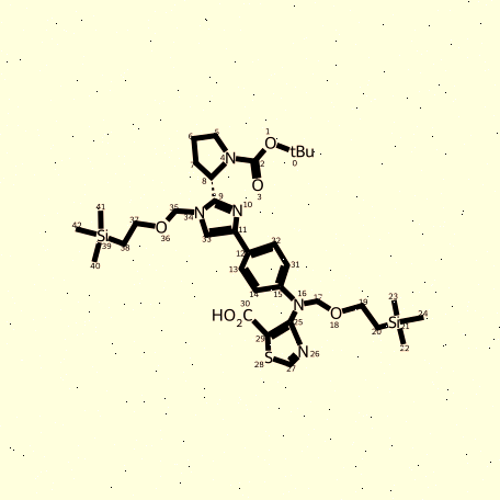 CC(C)(C)OC(=O)N1CCC[C@H]1c1nc(-c2ccc(N(COCC[Si](C)(C)C)c3ncsc3C(=O)O)cc2)cn1COCC[Si](C)(C)C